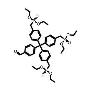 CCOP(=O)(Cc1ccc(C(c2ccc(C=O)cc2)(c2ccc(CP(=O)(OCC)OCC)cc2)c2ccc(CP(=O)(OCC)OCC)cc2)cc1)OCC